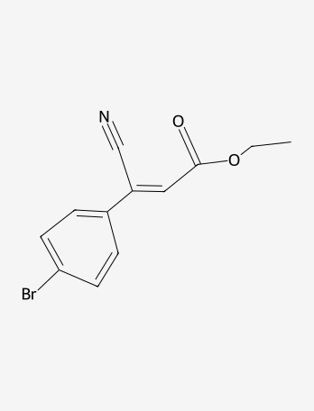 CCOC(=O)C=C(C#N)c1ccc(Br)cc1